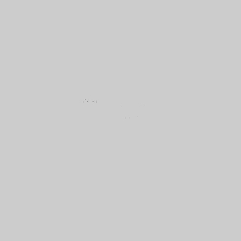 CCCCCCCCCCCC(=O)OC(=O)c1ccccc1O